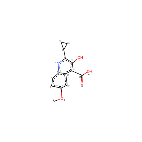 COc1ccc2nc(C3CC3)c(O)c(C(=O)O)c2c1